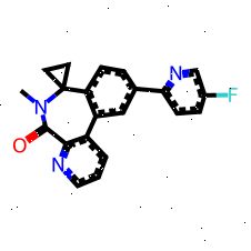 CN1C(=O)c2ncccc2-c2cc(-c3ccc(F)cn3)ccc2C12CC2